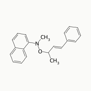 CC(/C=C/c1ccccc1)ON(C)c1cccc2ccccc12